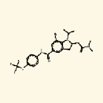 CC(C)N1c2c(Br)cc(C(=O)Nc3ccc(OC(F)(F)Cl)cc3)cc2CC1CC(=O)N(C)C